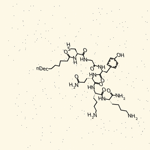 CCCCCCCCCCCCCCCC(=O)N[C@@H](CS)C(=O)NCC(=O)N[C@@H](Cc1ccc(O)cc1)C(=O)N[C@@H](CCC(N)=O)C(=O)N[C@@H](CCCCN)C(=O)N[C@@H](CCCCN)C(N)=O